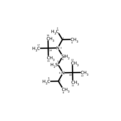 CC(C)N([SiH2][SiH2]N(C(C)C)C(C)(C)C)C(C)(C)C